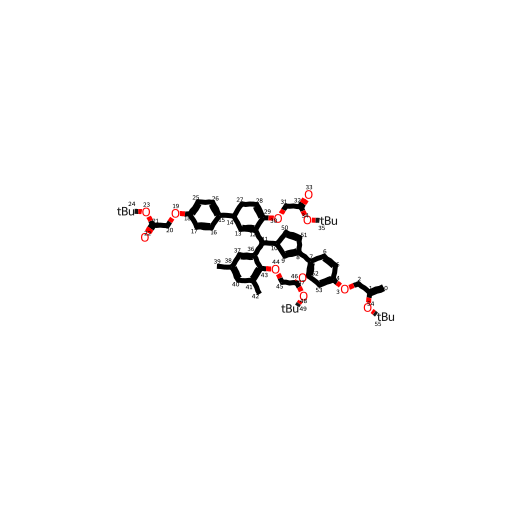 C=C(COc1ccc(C2=CC(C(C3=CC(c4ccc(OCC(=O)OC(C)(C)C)cc4)CC=C3OCC(=O)OC(C)(C)C)c3cc(C)cc(C)c3OCC(=O)OC(C)(C)C)C=C2)cc1)OC(C)(C)C